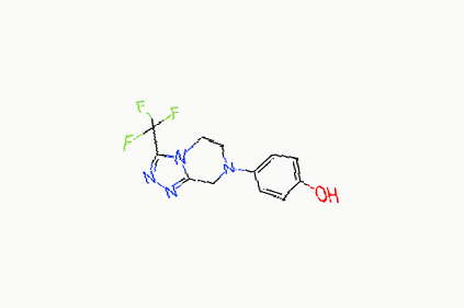 Oc1ccc(N2CCn3c(nnc3C(F)(F)F)C2)cc1